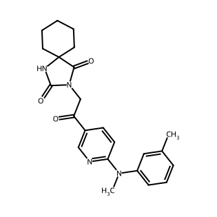 Cc1cccc(N(C)c2ccc(C(=O)CN3C(=O)NC4(CCCCC4)C3=O)cn2)c1